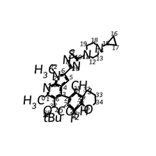 Cc1nc2c(cc(-c3nsc(N4CCN(C5CC5)CC4)n3)n2C)c(-c2cc(F)c3c(c2C)CCCO3)c1[C@H](OC(C)(C)C)C(=O)O